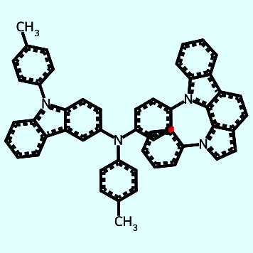 Cc1ccc(N(c2ccc(-n3c4ccccc4c4ccc5ccn(-c6ccccc6)c5c43)cc2)c2ccc3c(c2)c2ccccc2n3-c2ccc(C)cc2)cc1